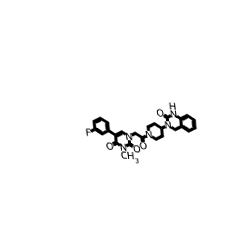 Cn1c(=O)c(-c2cccc(F)c2)cn(CC(=O)N2CCC(N3Cc4ccccc4NC3=O)CC2)c1=O